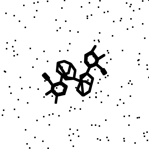 C#Cc1c(C23CC4CC(C2)CC(C25CC6CC(CC(c7ccc(C)c(C)c7C#C)(C6)C2)C5)(C4)C3)ccc(C)c1C